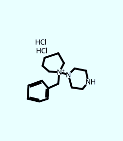 Cl.Cl.c1ccc(C[N+]2(N3CCNCC3)CCCCC2)cc1